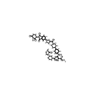 CN1CCN([C@@H]2CCCN(c3nnc(C(N)=O)c(Nc4ccc(C5CCN(C(=O)C6CCN(c7ccc8c(c7)C(=O)N(C7CCC(=O)NC7=O)C8=O)C6)CC5)cc4)n3)C2)C1=O